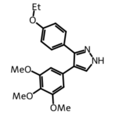 CCOc1ccc(-c2n[nH]cc2-c2cc(OC)c(OC)c(OC)c2)cc1